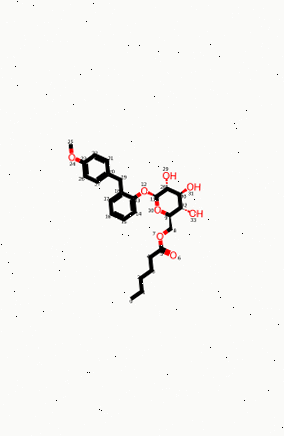 CCCCCC(=O)OC[C@H]1O[C@@H](Oc2ccccc2Cc2ccc(OC)cc2)[C@H](O)[C@@H](O)[C@@H]1O